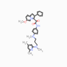 COc1ccc2cc(-c3ccccc3)c(C(=O)C(=O)Nc3ccc(N(C)CCCN(C)c4cc(C)cc(C)n4)cc3)n2c1